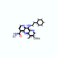 CCNC(=O)c1ccnc2c(NCCC3CCCCC3)c3ncc(OC)c(C)c3nc12